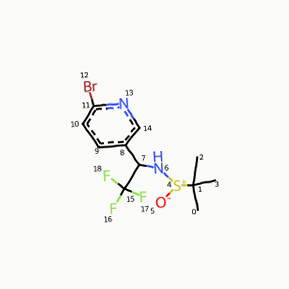 CC(C)(C)[S+]([O-])NC(c1ccc(Br)nc1)C(F)(F)F